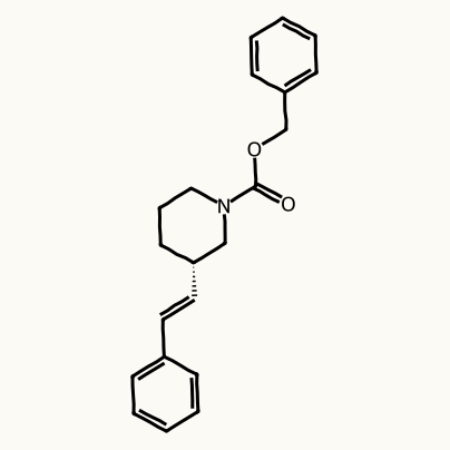 O=C(OCc1ccccc1)N1CCC[C@@H](/C=C/c2ccccc2)C1